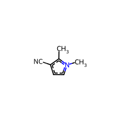 Cc1c(C#N)ccn1C